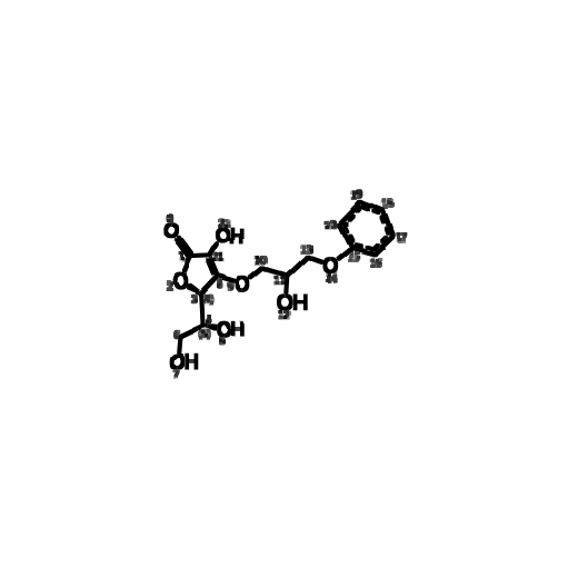 O=C1O[C@H]([C@@H](O)CO)C(OCC(O)COc2ccccc2)=C1O